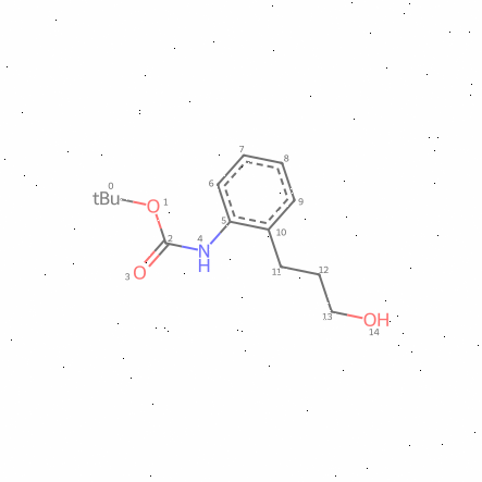 CC(C)(C)OC(=O)Nc1ccccc1CCCO